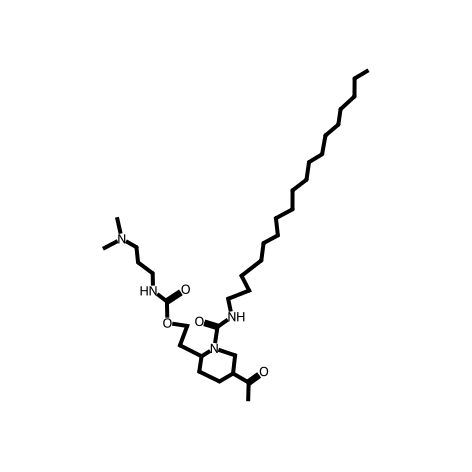 CCCCCCCCCCCCCCCCCCNC(=O)N1CC(C(C)=O)CCC1CCOC(=O)NCCCN(C)C